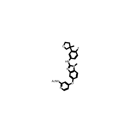 CC(=O)Nc1cc(Oc2ccc3c(c2)nc(Nc2ccc(F)c(C4(C)CCOC4)c2)n3C)ccn1